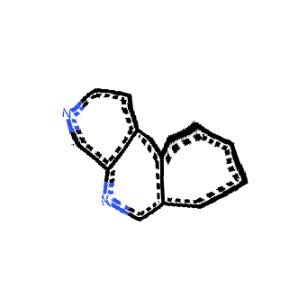 [c]1nccc2c1ncc1ccccc12